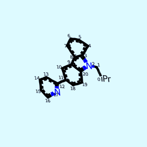 CC(C)Cn1c2ccccc2c2cc(-c3ccccn3)ccc21